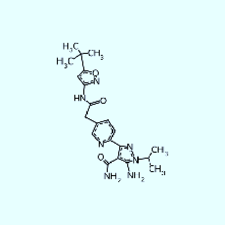 CC(C)n1nc(-c2ccc(CC(=O)Nc3cc(C(C)(C)C)on3)cn2)c(C(N)=O)c1N